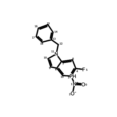 O=[N+]([O-])[PH]1=C(F)C=c2c(ccn2Cc2ccccc2)=C1